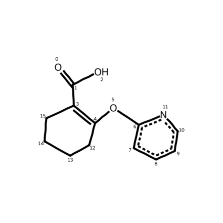 O=C(O)C1=C(Oc2ccccn2)CCCC1